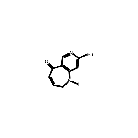 CCC(C)c1cc2c(cn1)C(=O)C=CCN2I